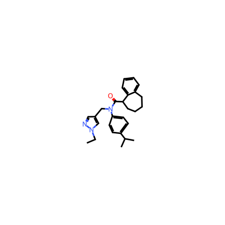 CCn1cc(CN(C(=O)C2CCCCc3ccccc32)c2ccc(C(C)C)cc2)cn1